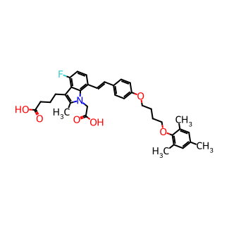 Cc1cc(C)c(OCCCCOc2ccc(C=Cc3ccc(F)c4c(CCCC(=O)O)c(C)n(CC(=O)O)c34)cc2)c(C)c1